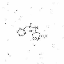 O=C(O)CC(CC(=O)O)NP(=O)(O)Cc1ccccn1